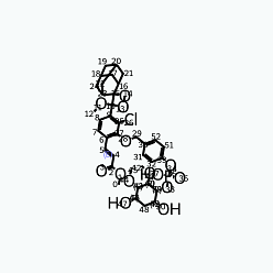 COC(=O)/C=C/c1ccc(C2(OC)OOC23C2CC4CC(C2)CC3C4)c(Cl)c1OCc1ccc(OP(=O)(O)O[C@H]2[C@H](OC)[C@@H](OC)[C@H](O)C[C@H]2O)cc1